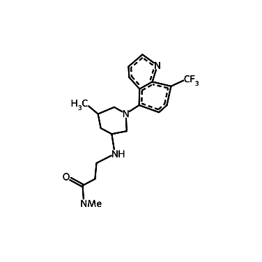 CNC(=O)CCNC1CC(C)CN(c2ccc(C(F)(F)F)c3ncccc23)C1